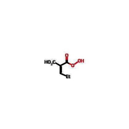 CCC=C(C(=O)O)C(=O)OO